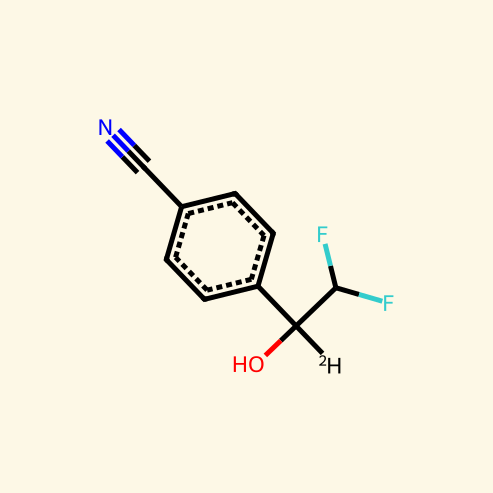 [2H]C(O)(c1ccc(C#N)cc1)C(F)F